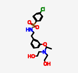 CC(Oc1cccc(CCNS(=O)(=O)c2ccc(Cl)cc2)c1)N(CCO)CCO